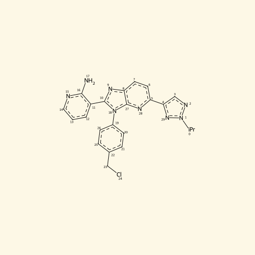 CC(C)n1ncc(-c2ccc3nc(-c4cccnc4N)n(-c4ccc(CCl)cc4)c3n2)n1